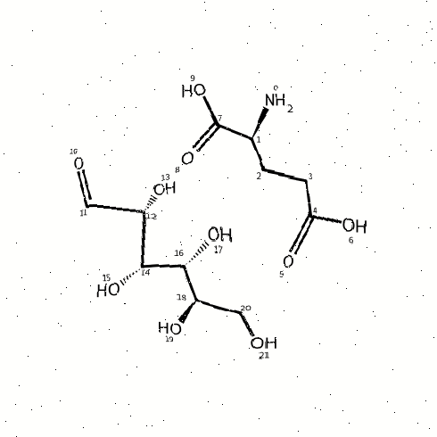 N[C@@H](CCC(=O)O)C(=O)O.O=C[C@H](O)[C@@H](O)[C@H](O)[C@H](O)CO